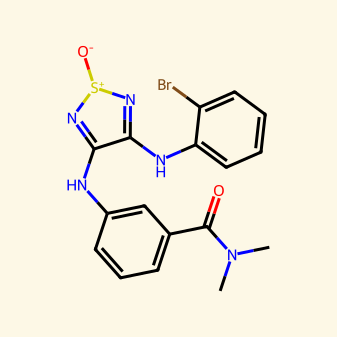 CN(C)C(=O)c1cccc(Nc2n[s+]([O-])nc2Nc2ccccc2Br)c1